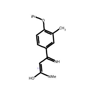 CN/C(O)=C\C(=N)c1ccc(OC(C)C)c(C)c1